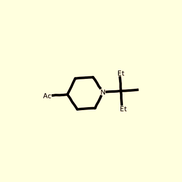 CCC(C)(CC)N1CCC(C(C)=O)CC1